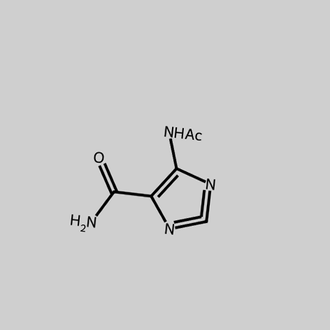 CC(=O)NC1=C(C(N)=O)N=C=N1